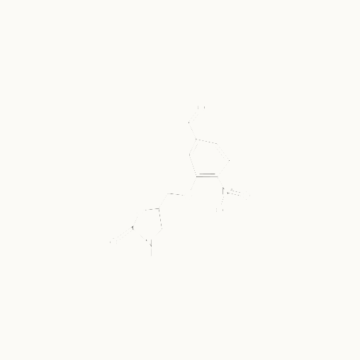 O=Cc1ccc([N+](=O)[O-])c(OCC2CNC(=O)O2)c1